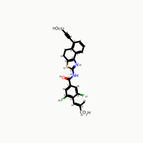 CCCCCCCCC#Cc1cccc2c1CCc1sc(NC(=O)c3cc(F)c(C=C(C)C(=O)O)c(F)c3)nc1-2